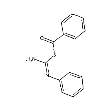 NC(=Nc1ccccc1)SC(=O)c1ccccc1